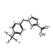 O=C(O)c1ccn(Cc2ccc(C(F)(F)F)cc2)n1